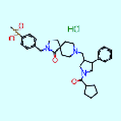 CS(=O)(=O)c1ccc(CN2CCC3(CCN(CC4CN(C(=O)C5CCCC5)CC4c4ccccc4)CC3)C2=O)cc1.Cl